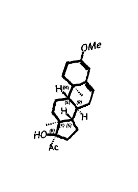 COC1=CC2=CC[C@@H]3[C@H](CC[C@@]4(C)[C@H]3CC[C@]4(O)C(C)=O)[C@@]2(C)CC1